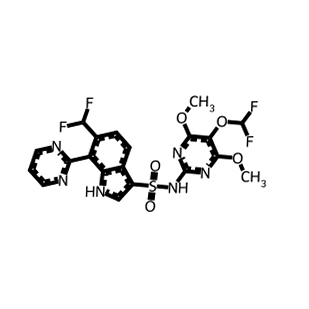 COc1nc(NS(=O)(=O)c2c[nH]c3c(-c4ncccn4)c(C(F)F)ccc23)nc(OC)c1OC(F)F